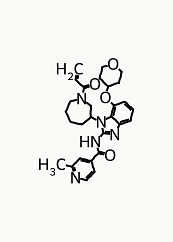 C=CC(=O)N1CCCCC(n2c(NC(=O)c3ccnc(C)c3)nc3cccc(OC4CCOCC4)c32)C1